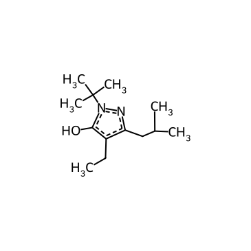 CCc1c(CC(C)C)nn(C(C)(C)C)c1O